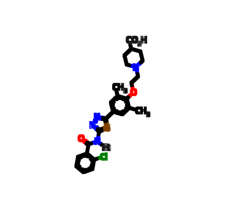 CCN(C(=O)c1ccccc1Cl)c1nnc(-c2cc(C)c(OCCN3CCC(C(=O)O)CC3)c(C)c2)s1